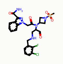 CS(=O)(=O)N1CC(N(C(=O)Cn2nc(C(N)=O)c3ccccc32)C(C=O)CNCc2cccc(Cl)c2F)C1